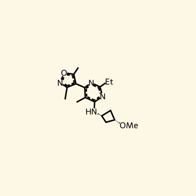 CCc1nc(N[C@H]2C[C@@H](OC)C2)c(C)c(-c2c(C)noc2C)n1